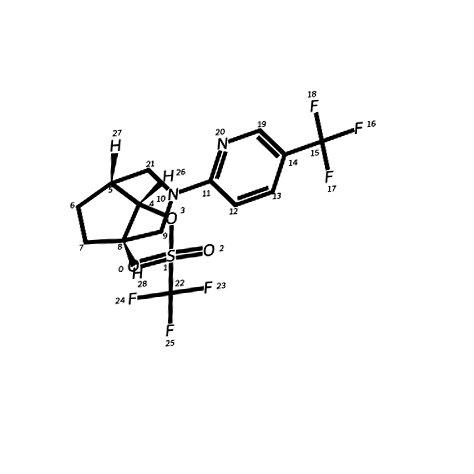 O=S(=O)(O[C@H]1[C@@H]2CC[C@H]1CN(c1ccc(C(F)(F)F)cn1)C2)C(F)(F)F